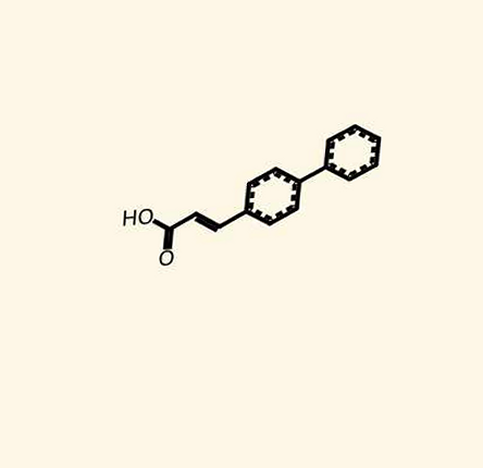 O=C(O)/C=C/c1ccc(-c2ccccc2)cc1